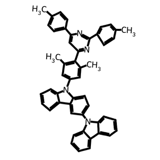 Cc1ccc(-c2cc(-c3c(C)cc(-n4c5ccccc5c5cc(-n6c7ccccc7c7ccccc76)ccc54)cc3C)nc(-c3ccc(C)cc3)n2)cc1